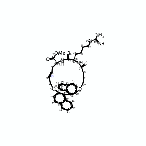 COC(=O)[C@@H]1C/C=C/COc2ccc3ccccc3c2-c2c(ccc3ccccc23)OCCCC(=O)N[C@H](CCCCNC(=N)N)C(=O)N1